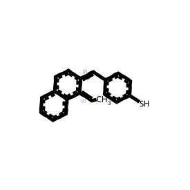 C/C=c1\c(=C/c2ccc(S)cc2)ccc2ccccc12